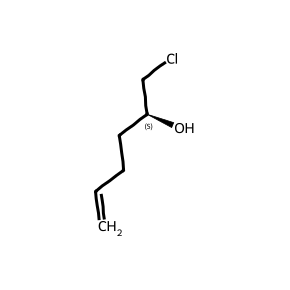 C=CCC[C@H](O)CCl